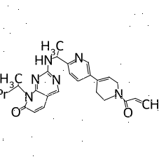 C=CC(=O)N1CC=C(c2ccc(C(C)Nc3ncc4ccc(=O)n(C(C)C(C)C)c4n3)nc2)CC1